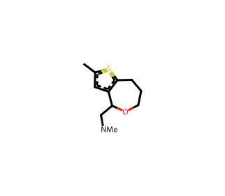 CNCC1OCCCc2sc(C)cc21